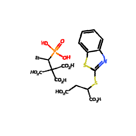 CCC(C(C(=O)O)(C(=O)O)C(=O)O)P(=O)(O)O.O=C(O)CC(Sc1nc2ccccc2s1)C(=O)O